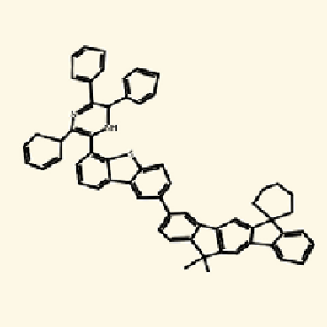 CC1(C)c2ccc(-c3ccc4sc5c(C6=C(C7C=CC=CC7)N=C(c7ccccc7)C(c7ccccc7)N6)cccc5c4c3)cc2-c2cc3c(cc21)-c1ccccc1C31CCCCC1